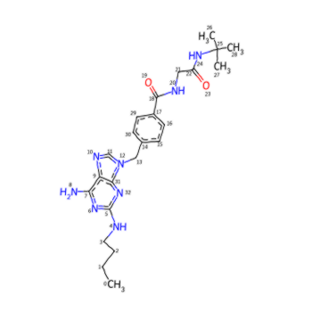 CCCCNc1nc(N)c2ncn(Cc3ccc(C(=O)NCC(=O)NC(C)(C)C)cc3)c2n1